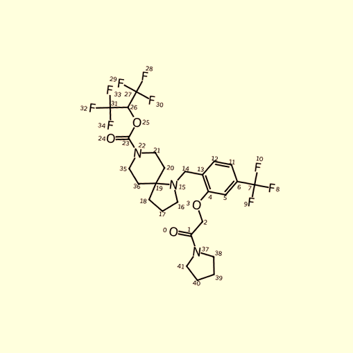 O=C(COc1cc(C(F)(F)F)ccc1CN1CCCC12CCN(C(=O)OC(C(F)(F)F)C(F)(F)F)CC2)N1CCCC1